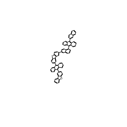 c1ccc2cc(-c3c4ccccc4c(-c4cccc5cc(-c6ccc7sc8ccc(-c9c%10ccccc%10c(-c%10ccc%11oc%12ccccc%12c%11c%10)c%10ccccc9%10)cc8c7c6)ccc45)c4ccccc34)ccc2c1